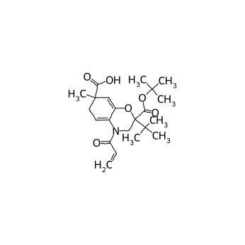 C=CC(=O)N1CC(C(=O)OC(C)(C)C)(C(C)(C)C)OC2=CC(C)(C(=O)O)CC=C21